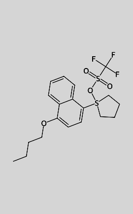 CCCCOc1ccc(S2(OS(=O)(=O)C(F)(F)F)CCCC2)c2ccccc12